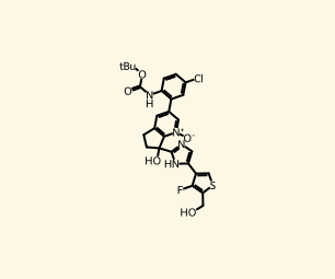 CC(C)(C)OC(=O)Nc1ccc(Cl)cc1-c1cc2c([n+]([O-])c1)C(O)(c1ncc(-c3csc(CO)c3F)[nH]1)CC2